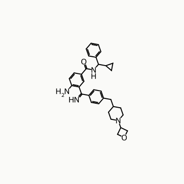 N=C(c1ccc(CC2CCN(C3COC3)CC2)cc1)c1cc(C(=O)NC(c2ccccc2)C2CC2)ccc1N